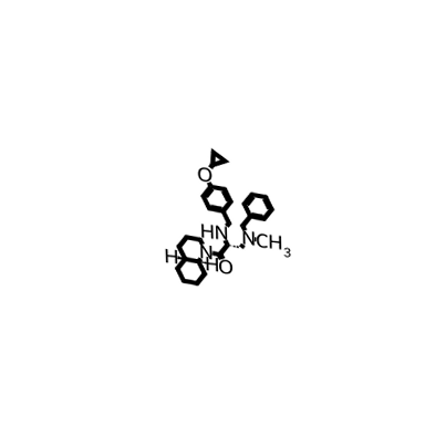 CN(Cc1ccccc1)C[C@@H](NCc1ccc(OC2CC2)cc1)C(=O)N1CCC[C@H]2CCCC[C@@H]21